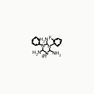 CC(C)N1C(N)N(c2ccccc2)C(N)N(c2ccccc2F)C1N